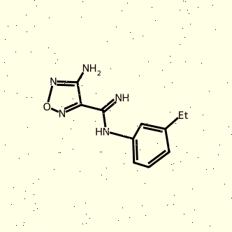 CCc1cccc(NC(=N)c2nonc2N)c1